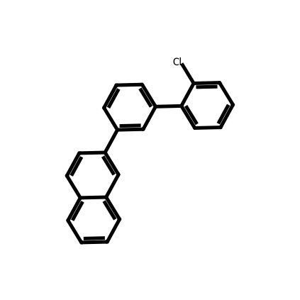 Clc1ccccc1-c1cccc(-c2ccc3ccccc3c2)c1